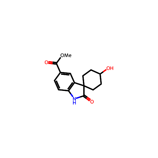 COC(=O)c1ccc2c(c1)C1(CCC(O)CC1)C(=O)N2